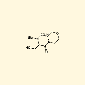 CC(C)(C)N(C(=O)O)C(CO)C(=O)N1CCOCC1